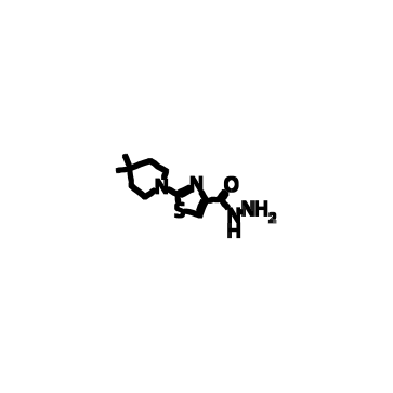 CC1(C)CCN(c2nc(C(=O)NN)cs2)CC1